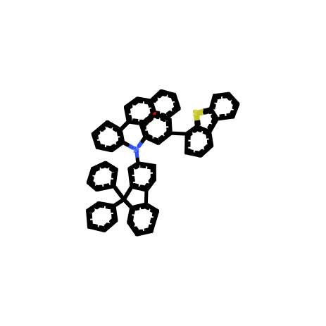 c1ccc(C2(c3ccccc3)c3ccccc3-c3ccc(N(c4cccc(-c5cccc6c5sc5ccccc56)c4)c4ccccc4-c4ccc5ccccc5c4)cc32)cc1